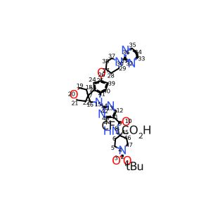 CC(C)(C)OC(=O)N1CCC(NC(=O)c2cnc(N3CC4(CCOCC4)c4cc(OC5CCN(c6ncccn6)CC5)ccc43)nc2C(F)(F)F)(C(=O)O)CC1